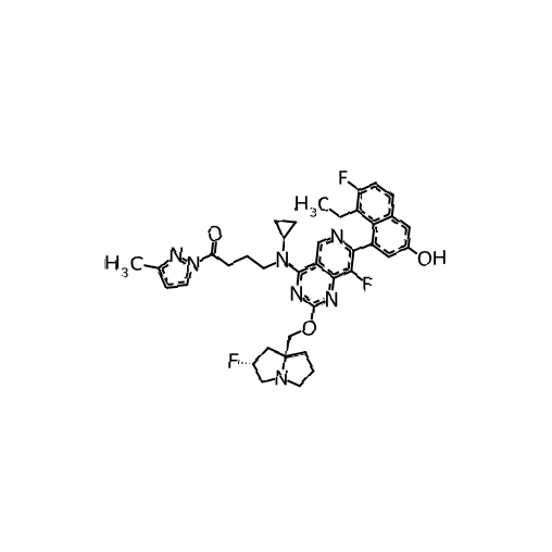 CCc1c(F)ccc2cc(O)cc(-c3ncc4c(N(CCCC(=O)n5ccc(C)n5)C5CC5)nc(OC[C@@]56CCCN5C[C@H](F)C6)nc4c3F)c12